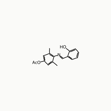 CC(=O)Oc1cc(C)c(N=Cc2ccccc2O)c(C)c1